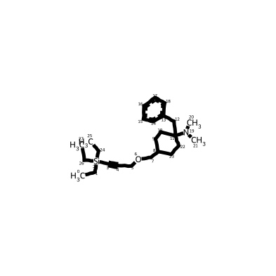 CC[Si](C#CCOCC1CCC(Cc2ccccc2)(N(C)C)CC1)(CC)CC